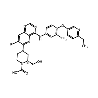 CCc1ccc(Oc2ccc(Nc3ncnc4cc(Br)c(N5CCN(C(=O)O)[C@H](CO)C5)nc34)cc2C)cn1